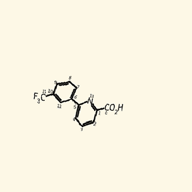 O=C(O)c1cccc(-c2cccc(C(F)(F)F)c2)n1